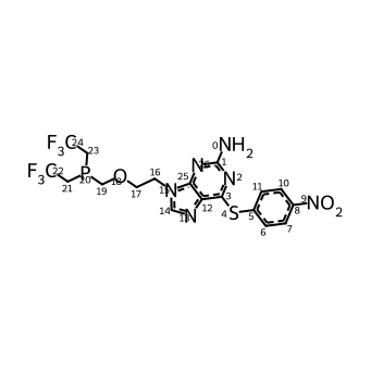 Nc1nc(Sc2ccc([N+](=O)[O-])cc2)c2ncn(CCOCP(CC(F)(F)F)CC(F)(F)F)c2n1